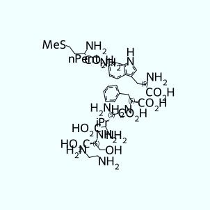 CC(C)[C@H](N)C(=O)O.CCCCCN.CSCCC(N)C(=O)O.NCC(=O)O.NCCN.N[C@@H](CO)C(=O)O.N[C@@H](Cc1c[nH]c2ccccc12)C(=O)O.N[C@@H](Cc1ccccc1)C(=O)O